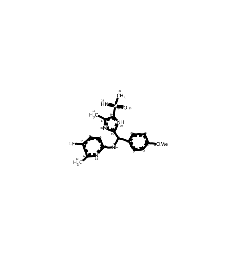 COc1ccc(C(Nc2ccc(F)c(C)n2)c2nc(C)c(S(C)(=N)=O)[nH]2)cc1